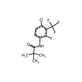 CC(C)(C)C(=O)Nc1ccc(Cl)c(C(F)(F)F)c1I